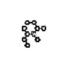 C1=CCCC(C2=CC(C3=CCCC(c4ccccc4)=C3)=CC(c3nc(-c4ccccc4)nc(-c4cc(C5=CC=CCC5)cc(-c5cccc(C6=CCCC=C6)c5)c4)n3)C2)=C1